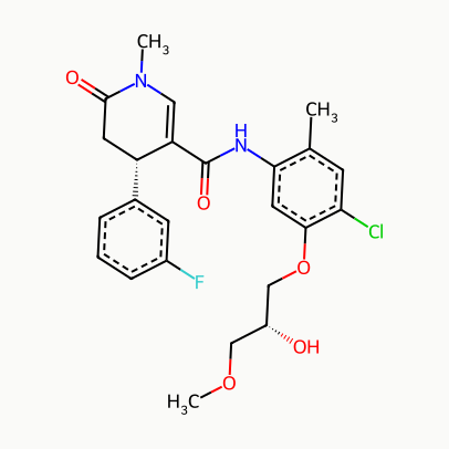 COC[C@@H](O)COc1cc(NC(=O)C2=CN(C)C(=O)C[C@H]2c2cccc(F)c2)c(C)cc1Cl